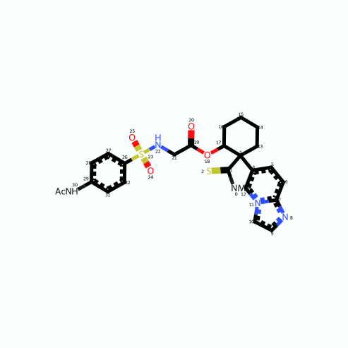 CNC(=S)C1(c2ccc3nccn3c2)CCCCC1OC(=O)CNS(=O)(=O)c1ccc(NC(C)=O)cc1